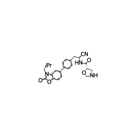 CC(C)Cn1c(=O)oc2ccc(-c3ccc(C[C@@H](C#N)NC(=O)[C@@H]4CNCO4)cc3)cc21